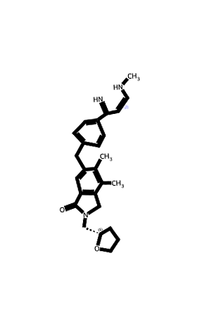 CN/C=C\C(=N)c1ccc(Cc2cc3c(c(C)c2C)CN(C[C@@H]2CCCO2)C3=O)cc1